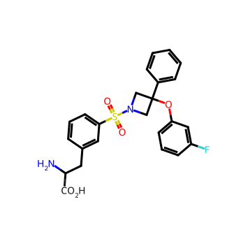 NC(Cc1cccc(S(=O)(=O)N2CC(Oc3cccc(F)c3)(c3ccccc3)C2)c1)C(=O)O